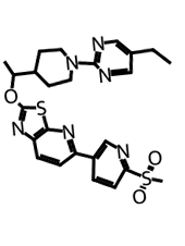 CCc1cnc(N2CCC(C(C)Oc3nc4ccc(-c5ccc(S(C)(=O)=O)nc5)nc4s3)CC2)nc1